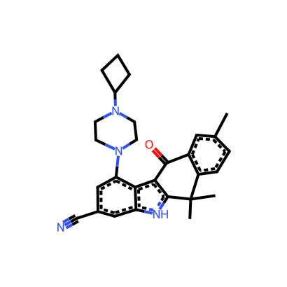 Cc1ccc2c(c1)C(=O)c1c([nH]c3cc(C#N)cc(N4CCN(C5CCC5)CC4)c13)C2(C)C